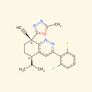 C#C[C@]1(c2nnc(C)o2)CC[C@H](C(C)C)c2cc(-c3c(F)cccc3F)nnc21